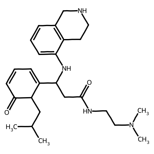 CC(C)CC1C(=O)C=CC=C1C(CC(=O)NCCN(C)C)Nc1cccc2c1CCNC2